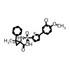 COc1ccc(-c2ccc(S(=O)(=O)N[C@@]3(C(=O)O)C[C@]3(C)c3ccccc3)s2)cc1Cl